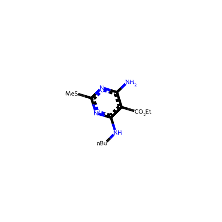 CCCCNc1nc(SC)nc(N)c1C(=O)OCC